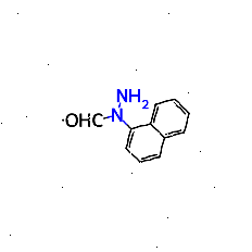 NN([C]=O)c1cccc2ccccc12